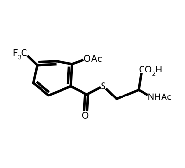 CC(=O)NC(CSC(=O)c1ccc(C(F)(F)F)cc1OC(C)=O)C(=O)O